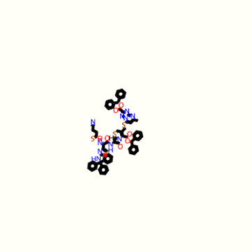 Cc1cc(SCC2=C(C(=O)OC(c3ccccc3)c3ccccc3)N3C(=O)[C@@H](NC(=O)/C(=N\OC(=S)CCC#N)c4csc(NC(c5ccccc5)(c5ccccc5)c5ccccc5)n4)[C@H]3SC2)n2nc(C(=O)OC(c3ccccc3)c3ccccc3)nc2n1